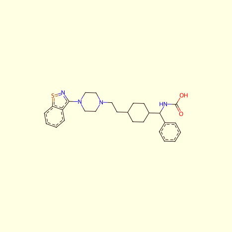 O=C(O)NC(c1ccccc1)C1CCC(CCN2CCN(c3nsc4ccccc34)CC2)CC1